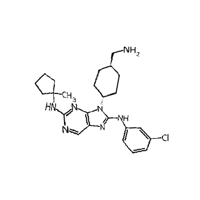 CC1(Nc2ncc3nc(Nc4cccc(Cl)c4)n([C@H]4CC[C@H](CN)CC4)c3n2)CCCC1